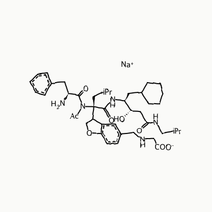 CC(=O)N(C(=O)[C@@H](N)Cc1ccccc1)[C@](CC(C)C)(C(=O)N[C@@H](CC1CCCCC1)[C@@H](O)CC(=O)NCC(C)C)C1COc2ccc(CNCC(=O)[O-])cc21.[Na+]